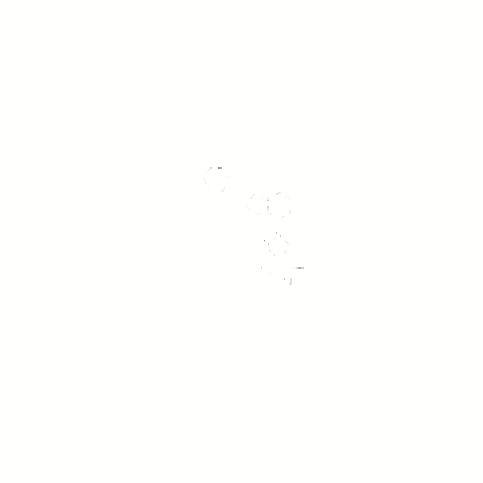 O=C(NCCO)c1cn(-c2cccc3cc(Cc4cccc(C(F)(F)F)c4)sc23)nc1C(F)(F)F